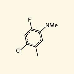 CNc1cc(C)c(Cl)cc1F